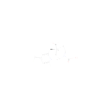 C[C@@H]1C[C@](Cc2nc(Cl)cc(C(F)F)c2F)(C(=O)O)CCN1C(=O)O